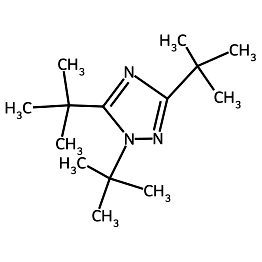 CC(C)(C)c1nc(C(C)(C)C)n(C(C)(C)C)n1